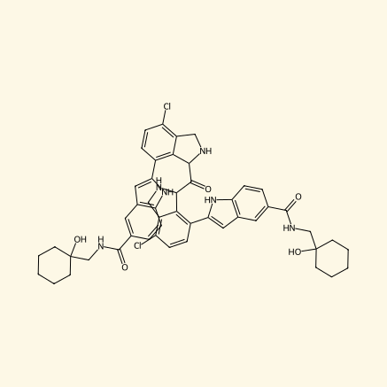 O=C(NCC1(O)CCCCC1)c1ccc2[nH]c(-c3ccc(Cl)c4c3C(C(=O)C3NCc5c(Cl)ccc(-c6cc7cc(C(=O)NCC8(O)CCCCC8)ccc7[nH]6)c53)NC4)cc2c1